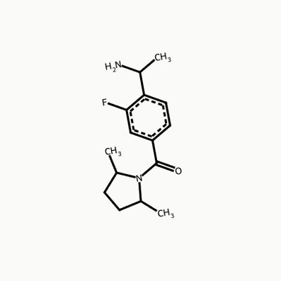 CC(N)c1ccc(C(=O)N2C(C)CCC2C)cc1F